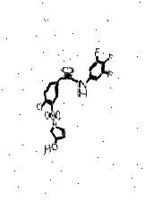 O=C(Nc1cc(F)c(F)c(F)c1)c1ccc(Cl)c(S(=O)(=O)N2CCC(O)C2)c1